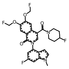 Cn1ccc2c(-n3cc(C(=O)N4CCC(F)CC4)c4cc(OCF)c(OCF)cc4c3=O)cc(F)cc21